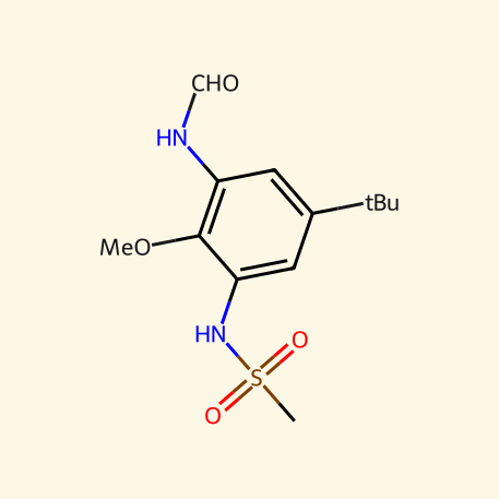 COc1c(NC=O)cc(C(C)(C)C)cc1NS(C)(=O)=O